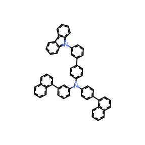 c1cc(-c2cccc3ccccc23)cc(N(c2ccc(-c3cccc(-n4c5ccccc5c5ccccc54)c3)cc2)c2ccc(-c3cccc4ccccc34)cc2)c1